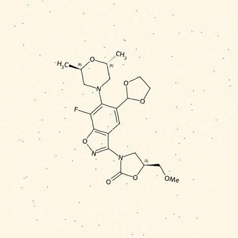 COC[C@@H]1CN(c2noc3c(F)c(N4C[C@@H](C)O[C@H](C)C4)c(C4OCCO4)cc23)C(=O)O1